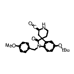 COc1ccc(CN2C(=O)C3(CCNC(=C=O)C3)c3cc(OC(C)(C)C)ccc32)cc1